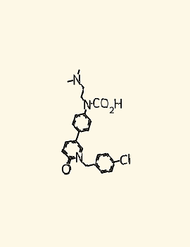 CN(C)CCN(C(=O)O)c1ccc(-c2ccc(=O)n(Cc3ccc(Cl)cc3)c2)cc1